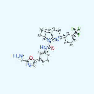 NCc1ncc(-c2cccc(NC(=O)N3c4nc(-c5cccc(C(F)(F)F)c5)ccc4C4CCC43)c2)o1